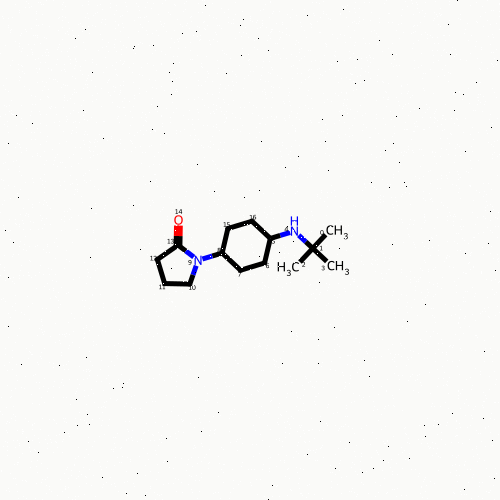 CC(C)(C)NC1CCC(N2CCCC2=O)CC1